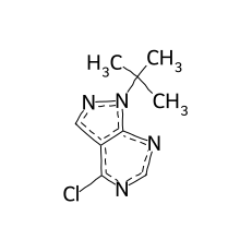 CC(C)(C)n1ncc2c(Cl)ncnc21